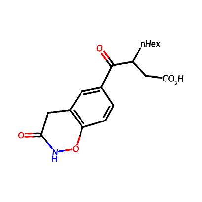 CCCCCCC(CC(=O)O)C(=O)c1ccc2c(c1)CC(=O)NO2